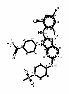 CS(=O)(=O)N1CCC(Nc2ncc3nc(Nc4c(F)cc(F)cc4Cl)n([C@H]4CC[C@H](C(N)=O)CC4)c3n2)CC1